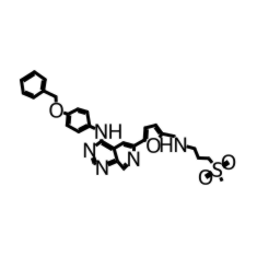 CS(=O)(=O)CCCNCc1ccc(-c2cc3c(Nc4ccc(OCc5ccccc5)cc4)ncnc3cn2)o1